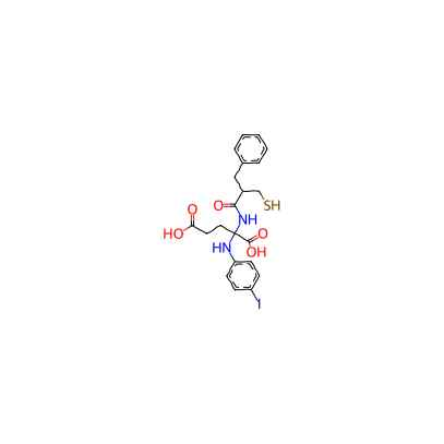 O=C(O)CCC(NC(=O)C(CS)Cc1ccccc1)(Nc1ccc(I)cc1)C(=O)O